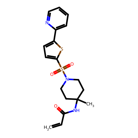 C=CC(=O)NC1(C)CCN(S(=O)(=O)c2ccc(-c3ccccn3)s2)CC1